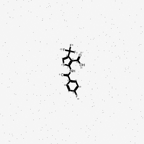 O=C(Nc1scc(C(F)(F)F)c1C(=O)O)c1ccc(F)cc1